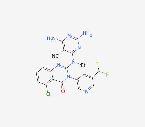 CCN(c1nc(N)nc(N)c1C#N)c1nc2cccc(Cl)c2c(=O)n1-c1cncc(C(F)F)c1